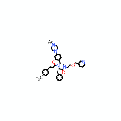 CC(=O)N1CCN(c2ccc(CN(C(=O)/C=C/c3ccc(C(F)(F)F)cc3)[C@@H](Cc3ccccc3)C(=O)N(C)CCOCc3cccnc3)cc2)CC1